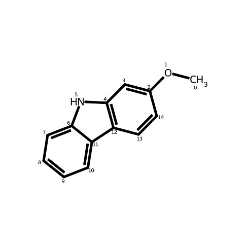 COc1[c]c2[nH]c3ccccc3c2cc1